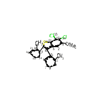 COc1cc2c(-c3ccccc3C)c(-c3ccccc3C)sc2c(Cl)c1Cl